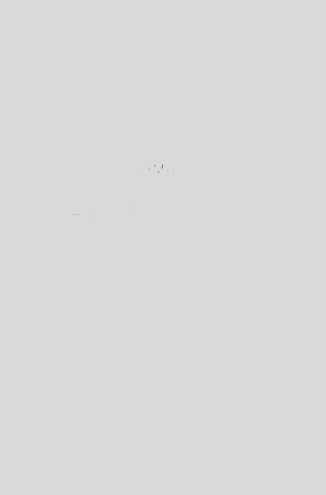 C=C(OC)C1=CC=C(O)CC1